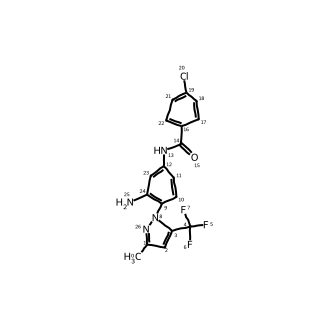 Cc1cc(C(F)(F)F)n(-c2ccc(NC(=O)c3ccc(Cl)cc3)cc2N)n1